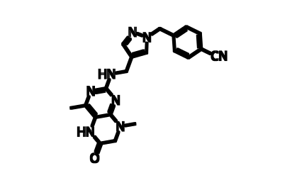 Cc1nc(NCc2cnn(Cc3ccc(C#N)cc3)c2)nc2c1NC(=O)CN2C